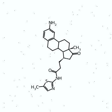 Cc1cnc(NC(=O)CC[C@@H]2CC(=O)[C@@]3(C)CCC4c5cc(N)ccc5CCC4C23)s1